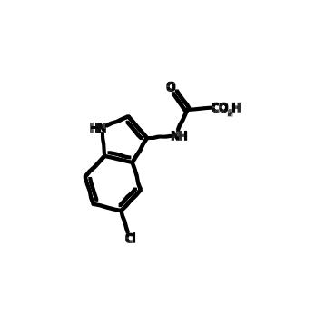 O=C(O)C(=O)Nc1c[nH]c2ccc(Cl)cc12